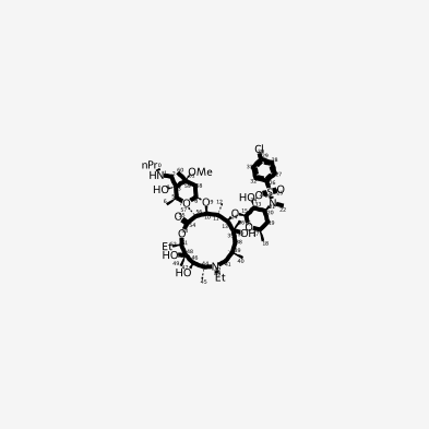 CCCNC[C@]1(O)[C@H](C)O[C@@H](O[C@H]2[C@H](C)[C@@H](O[C@@H]3O[C@H](C)C[C@H](N(C)S(=O)(=O)c4ccc(Cl)cc4)[C@H]3O)[C@](C)(O)C[C@@H](C)CN(CC)[C@H](C)[C@@H](O)[C@](C)(O)[C@@H](CC)OC(=O)[C@@H]2C)C[C@@]1(C)OC